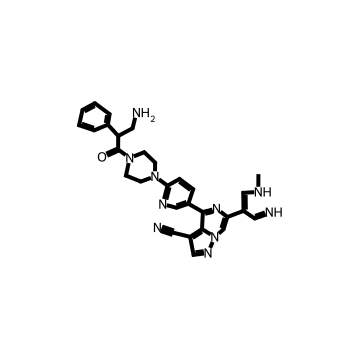 CN/C=C(\C=N)c1cn2ncc(C#N)c2c(-c2ccc(N3CCN(C(=O)C(CN)c4ccccc4)CC3)nc2)n1